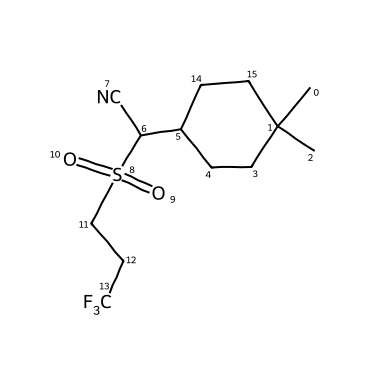 CC1(C)CCC(C(C#N)S(=O)(=O)CCC(F)(F)F)CC1